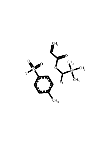 C=CC(=O)OC(CC)[N+](C)(C)C.Cc1ccc(S(=O)(=O)[O-])cc1